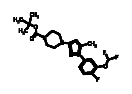 Cc1cc(N2CCN(C(=O)OC(C)(C)C)CC2)nn1-c1ccc(F)c(OC(F)F)c1